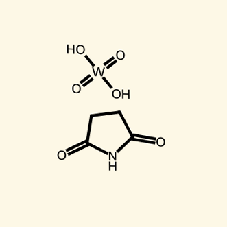 O=C1CCC(=O)N1.[O]=[W](=[O])([OH])[OH]